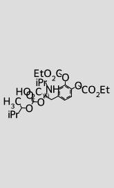 CCOC(=O)Oc1ccc(C[C@](NC(C)C)(OC(=O)OC(C)C(C)C)C(=O)O)cc1OC(=O)OCC